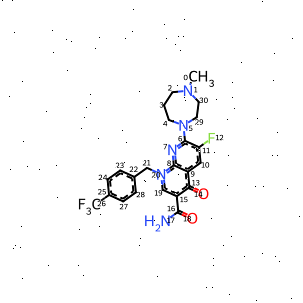 CN1CCCN(c2nc3c(cc2F)c(=O)c(C(N)=O)cn3Cc2ccc(C(F)(F)F)cc2)CC1